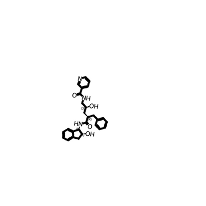 O=C(NC[C@@H](O)C[C@@H](Cc1ccccc1)C(=O)N[C@H]1c2ccccc2C[C@H]1O)c1cccnc1